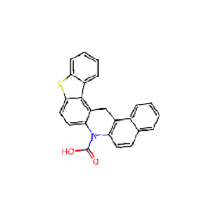 O=C(O)N1c2ccc3ccccc3c2Cc2c1ccc1sc3ccccc3c21